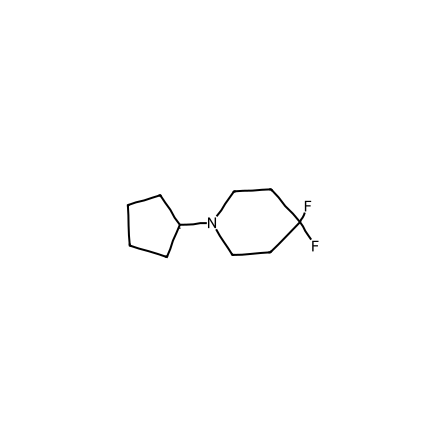 FC1(F)CCN([C]2CCCC2)CC1